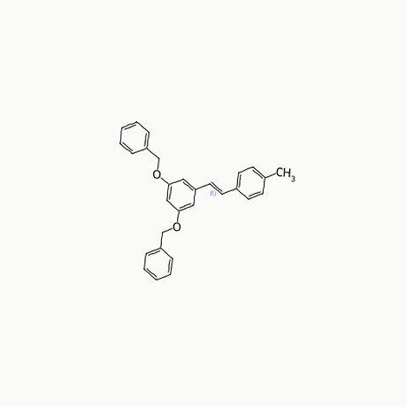 Cc1ccc(/C=C/c2cc(OCc3ccccc3)cc(OCc3ccccc3)c2)cc1